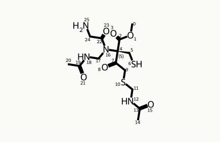 COC(=O)[C@](CS)(C(=O)CSCNC(C)=O)N(CNC(C)=O)C(=O)CN